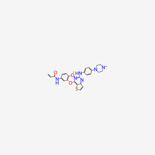 C=CC(=O)Nc1ccc(OC)c(Oc2nc(Nc3ccc(N4CCN(C)CC4)cc3)nc3ccsc23)c1